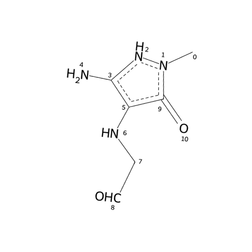 Cn1[nH]c(N)c(NCC=O)c1=O